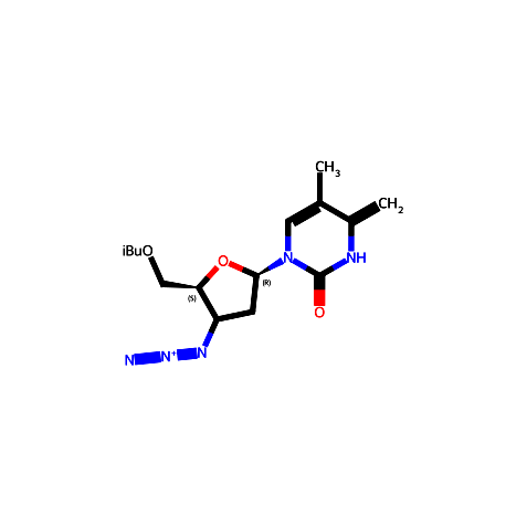 C=C1NC(=O)N([C@H]2CC(N=[N+]=[N-])[C@@H](COCC(C)C)O2)C=C1C